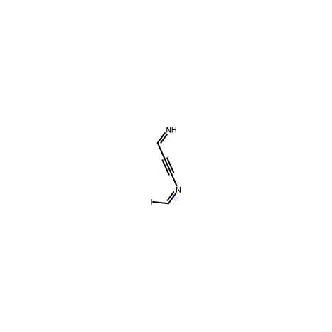 N=CC#C/N=C\I